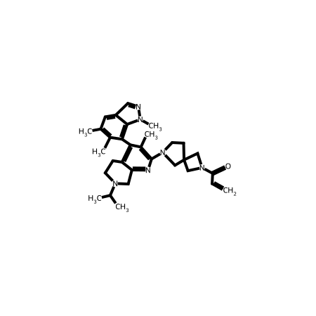 C=CC(=O)N1CC2(CCN(c3nc4c(c(-c5c(C)c(C)cc6cnn(C)c56)c3C)CCN(C(C)C)C4)C2)C1